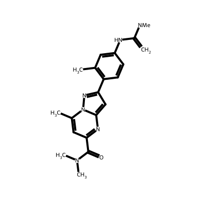 C=C(NC)Nc1ccc(-c2cc3nc(C(=O)N(C)C)cc(C)n3n2)c(C)c1